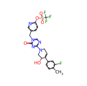 Cc1ccc(C2=CCN(c3ncn(Cc4ccc(OS(=O)(=O)C(F)(F)F)nc4)c(=O)n3)CC2O)cc1F